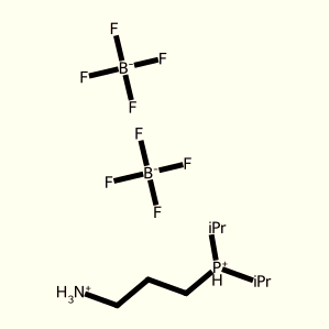 CC(C)[PH+](CCC[NH3+])C(C)C.F[B-](F)(F)F.F[B-](F)(F)F